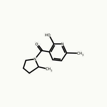 Cc1ccc(C(=O)N2CCCC2C)c(O)n1